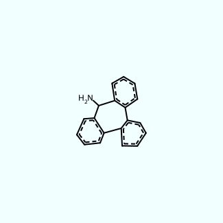 NC1c2ccccc2-c2ccccc2-c2ccccc21